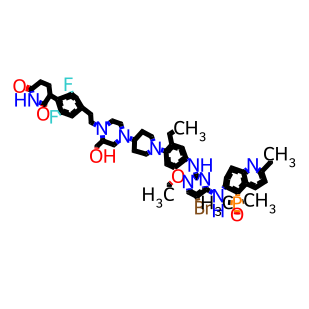 CCOc1cc(N2CCC(N3CCN(CCc4cc(F)c(C5CCC(=O)NC5=O)c(F)c4)C(CO)C3)CC2)c(CC)cc1Nc1ncc(Br)c(Nc2ccc3nc(CC)ccc3c2P(C)(C)=O)n1